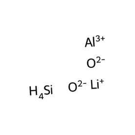 [Al+3].[Li+].[O-2].[O-2].[SiH4]